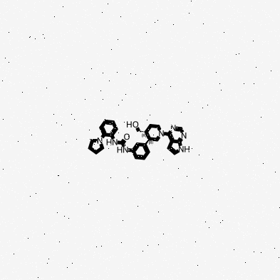 O=C(Nc1cccc([C@@H]2CN(c3ncnc4[nH]ccc34)CC[C@H]2CO)c1)Nc1ccccc1N1CCCC1